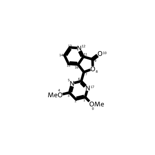 COc1cc(OC)nc(C2OC(=O)c3ncccc32)n1